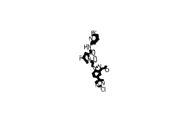 CC(=O)c1nn(CC(=O)N2C[C@H](F)C[C@H]2C(=O)Nc2cccc(Br)n2)c2ccc(-c3cnc(Cl)nc3)cc12